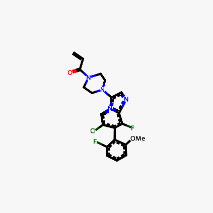 C=CC(=O)N1CCN(c2cnc3c(F)c(-c4c(F)cccc4OC)c(Cl)cn23)CC1